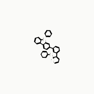 C1=CC(n2c3ncccc3c3cccc(-c4ccc5c6ccccc6n(-c6ccccc6)c5c4)c32)=CCC1